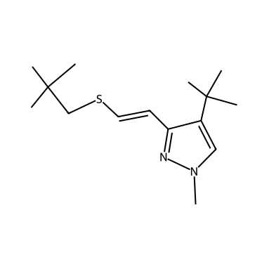 Cn1cc(C(C)(C)C)c(C=CSCC(C)(C)C)n1